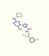 Cc1cnc(NC2CCCCC2)nc1-n1cnc(C(=O)NCC(SF)c2cccc(Cl)c2)c1